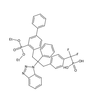 CCOP(=O)(OCC)c1cc(-c2ccccc2)ccc1CC(Cc1ccc(C(F)(F)P(=O)(O)O)cc1)(c1ccccc1)n1nnc2ccccc21